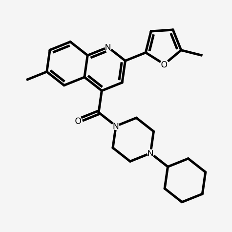 Cc1ccc2nc(-c3ccc(C)o3)cc(C(=O)N3CCN(C4CCCCC4)CC3)c2c1